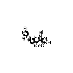 CCc1ccc(Nc2ccc(Cc3c[nH]c4c3=C(OC)NCN=4)c(F)n2)cn1